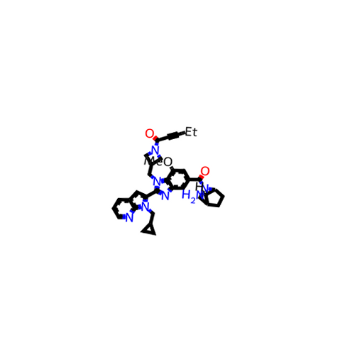 CCC#CC(=O)N1CC(Cn2c(-c3cc4cccnc4n3CC3CC3)nc3cc(C(=O)N4CC5CCC4[C@@H]5N)cc(OC)c32)C1